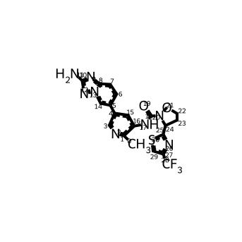 Cc1ncc(-c2ccc3nc(N)nn3c2)cc1NC(=O)N1OCCC1c1nc(C(F)(F)F)cs1